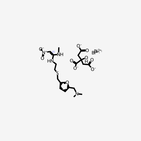 CN/C(=C/[N+](=O)[O-])NCCSCc1ccc(CN(C)C)o1.O=C([O-])CC(O)(CC(=O)[O-])C(=O)[O-].[Bi+3].[Bi+3]